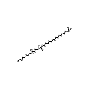 CCOCCOCCNC(=O)CCCNC(=O)CCCCCCCCCCCCCCCCC(C)=O